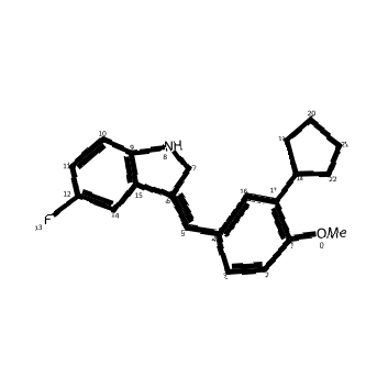 COc1ccc(C=C2CNc3ccc(F)cc32)cc1C1CCCC1